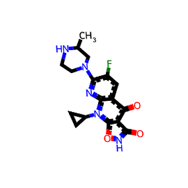 CC1CN(c2nc3c(cc2F)c(=O)c2c(=O)[nH]oc2n3C2CC2)CCN1